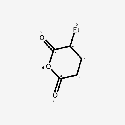 CCC1CCC(=O)OC1=O